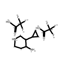 NC1CCNCC1C1CC1.O=C(O)C(F)(F)F.O=C(O)C(F)(F)F